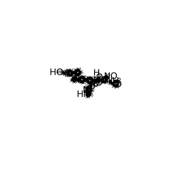 O=C(NS(=O)(=O)c1ccc(NCC2CCOCC2)c([N+](=O)[O-])c1)c1ccc(-c2ccc(N3CCC[C@@H]3c3ccccc3C3CCN(CCO)CC3)cc2)cc1Oc1cnc2[nH]ccc2c1